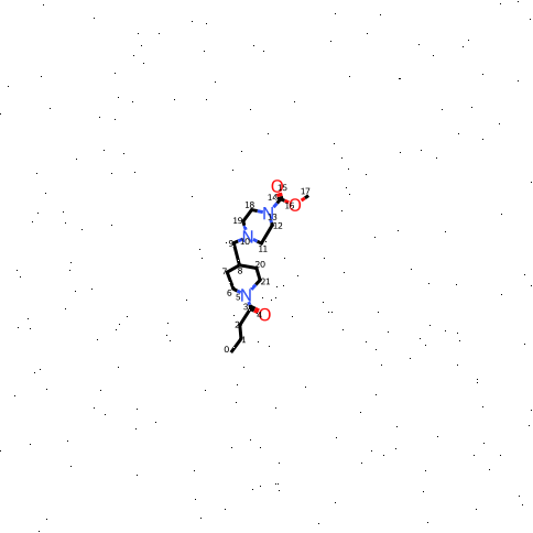 CCCC(=O)N1CCC(CN2CCN(C(=O)OC)CC2)CC1